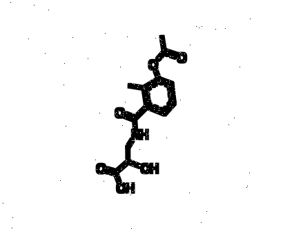 CC(=O)Oc1cccc(C(=O)NCC(O)C(=O)O)c1C